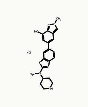 CN(c1nc2cnc(-c3cc(C#N)c4nn(C)cc4c3)cc2s1)C1CCNCC1.Cl